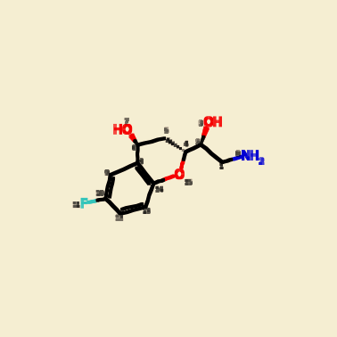 NC[C@H](O)[C@H]1C[C@H](O)c2cc(F)ccc2O1